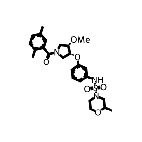 CO[C@@H]1CN(C(=O)c2cc(C)ccc2C)C[C@H]1Oc1cccc(NS(=O)(=O)N2CCOC(C)C2)c1